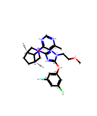 COCCn1nc(NC2[C@@H]3CC[C@H]2CN(c2cc(C)ncn2)C3)nc1Oc1cc(F)cc(Cl)c1